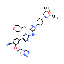 C[C@@H]1CN(C2CCC(n3cc(Nc4ncc(-c5ccc(C#N)c(O[C@@H](C)Cn6cnnn6)c5)cn4)c(OCC4CCOCC4)n3)CC2)C[C@H](C)O1